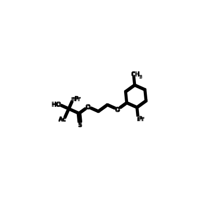 CCCC(O)(C(C)=O)C(=S)OCCOC1CC(C)CCC1C(C)C